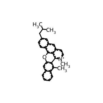 Cc1c2c(cc3ccccc13)Oc1c3ccc(CC(C)C)cc3cc3cc[n+](C)c-2c13